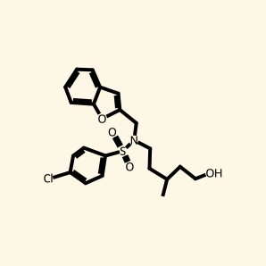 CC(CCO)CCN(Cc1cc2ccccc2o1)S(=O)(=O)c1ccc(Cl)cc1